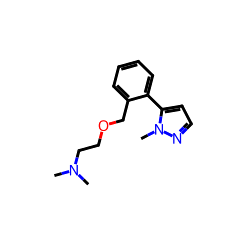 CN(C)CCOCc1ccccc1-c1ccnn1C